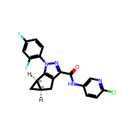 O=C(Nc1ccc(Cl)nc1)c1nn(-c2ccc(F)cc2F)c2c1C[C@H]1C[C@@H]21